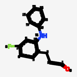 O=C=CCc1ccc(F)cc1Nc1ccccc1